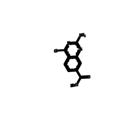 COC(=O)c1ccc2c(Cl)nc(N)nc2c1